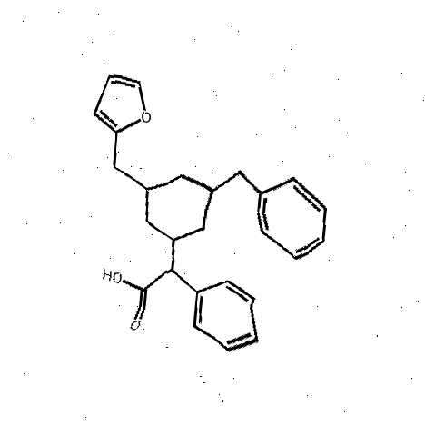 O=C(O)C(c1ccccc1)C1CC(Cc2ccccc2)CC(Cc2ccco2)C1